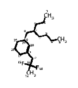 CCCCC(CCC)C[C@H]1C=C(CC(C)(F)F)CCC1